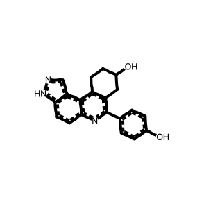 Oc1ccc(-c2nc3ccc4[nH]ncc4c3c3c2CC(O)CC3)cc1